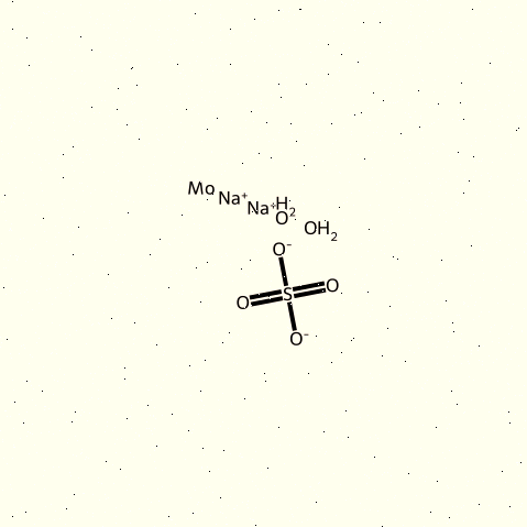 O.O.O=S(=O)([O-])[O-].[Mo].[Na+].[Na+]